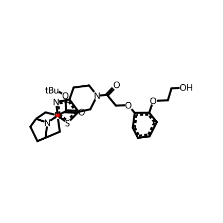 CC(C)(C)OC(=O)N1CC2CCC(C1)N2c1nc2c(s1)CN(C(=O)COc1ccccc1OCCO)CC2